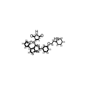 CN(C1=CC(=O)NC1=O)c1nc(-c2cccc(OCCC3CCCCN3)c2)nc2scc(-c3cccs3)c12